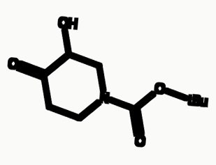 CC(C)(C)OC(=O)N1CCC(=O)C(O)C1